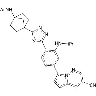 CC(=O)NC12CCC(c3nnc(-c4cnc(-c5ccc6cc(C#N)cnn56)cc4NC(C)C)s3)(CC1)C2